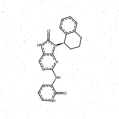 O=c1[nH]cccc1Nc1ncc2[nH]c(=O)n([C@@H]3CCCc4ccccc43)c2n1